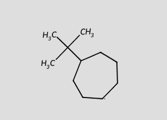 CC(C)(C)C1CC[CH]CCC1